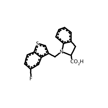 O=C(O)C1Cc2ccccc2N1Cc1csc2ccc(F)cc12